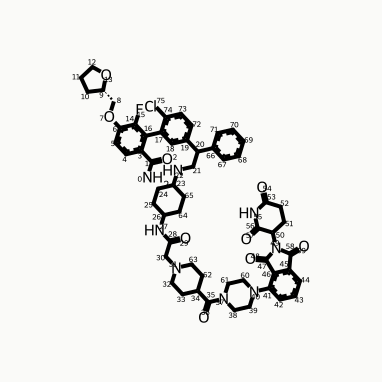 NC(=O)c1ccc(OC[C@@H]2CCCO2)c(F)c1-c1cc(C(CNC2CCC(NC(=O)CN3CCC(C(=O)N4CCN(c5cccc6c5C(=O)N(C5CCC(=O)NC5=O)C6=O)CC4)CC3)CC2)c2ccccc2)ccc1Cl